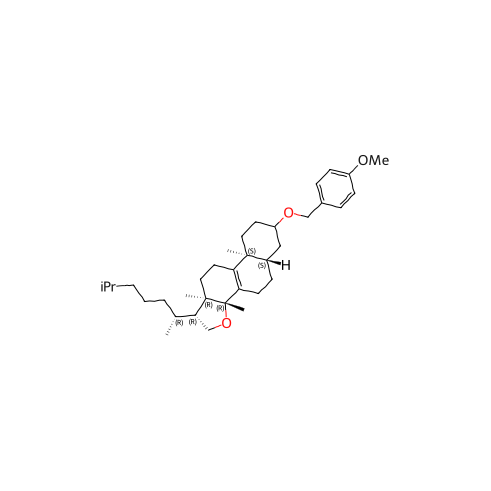 COc1ccc(COC2CC[C@]3(C)C4=C(CC[C@H]3C2)[C@]2(C)OC[C@H]([C@H](C)CCCC(C)C)[C@@]2(C)CC4)cc1